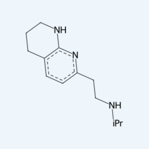 CC(C)NCCc1ccc2c(n1)NCCC2